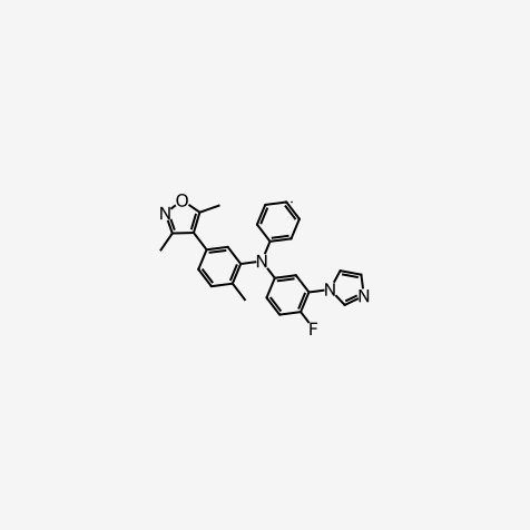 Cc1ccc(-c2c(C)noc2C)cc1N(c1cc[c]cc1)c1ccc(F)c(-n2ccnc2)c1